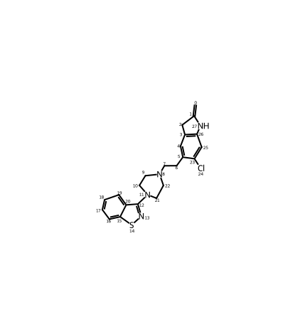 C=C1Cc2cc(CCN3CCN(c4nsc5ccccc45)CC3)c(Cl)cc2N1